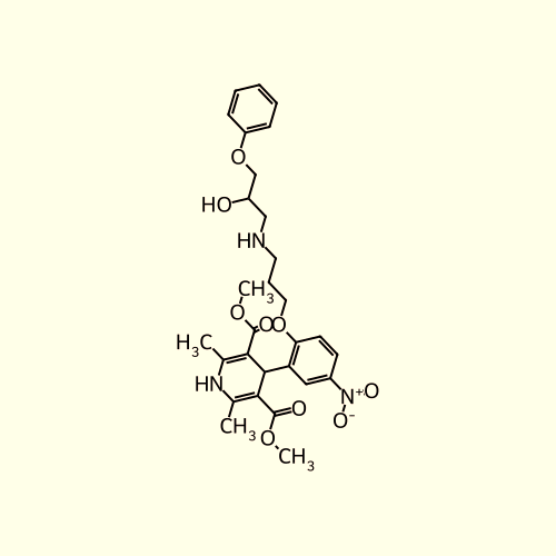 COC(=O)C1=C(C)NC(C)=C(C(=O)OC)C1c1cc([N+](=O)[O-])ccc1OCCCNCC(O)COc1ccccc1